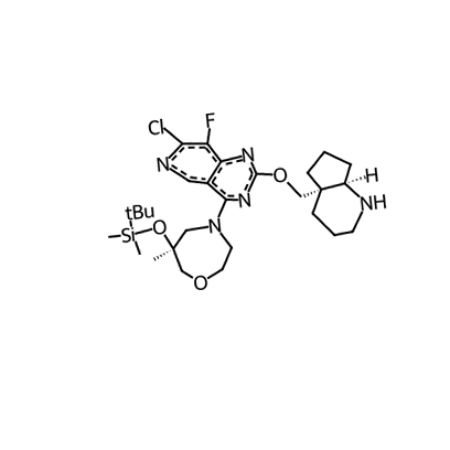 CC(C)(C)[Si](C)(C)O[C@]1(C)COCCN(c2nc(OC[C@@]34CCCN[C@@H]3CCC4)nc3c(F)c(Cl)ncc23)C1